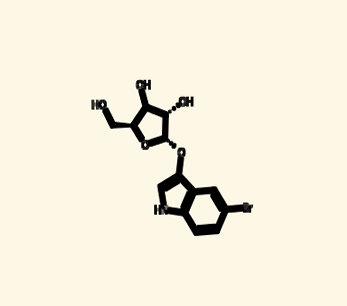 OC[C@@H]1O[C@@H](Oc2c[nH]c3ccc(Br)cc23)[C@@H](O)C1O